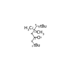 CC(C)(C)CC(=O)CC(C)(C)CC(C)(C)C